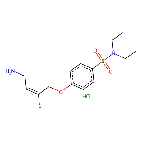 CCN(CC)S(=O)(=O)c1ccc(OC/C(F)=C\CN)cc1.Cl